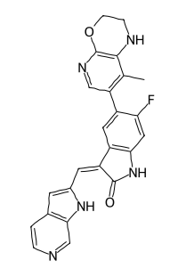 Cc1c(-c2cc3c(cc2F)NC(=O)/C3=C\c2cc3ccncc3[nH]2)cnc2c1NCCO2